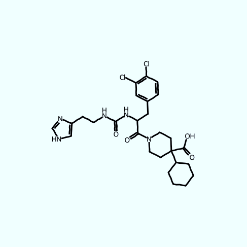 O=C(NCCc1c[nH]cn1)NC(Cc1ccc(Cl)c(Cl)c1)C(=O)N1CCC(C(=O)O)(C2CCCCC2)CC1